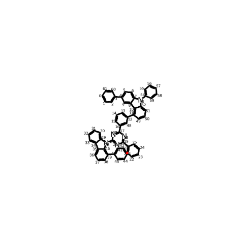 c1ccc(-c2ccc3c(c2)c2c(-c4cccc(-c5nc(-c6ccccc6)nc(-n6c7ccccc7c7cccc(-c8ccccc8)c76)n5)c4)cccc2n3-c2ccccc2)cc1